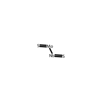 [S]=[Nb][Mo]=[S]